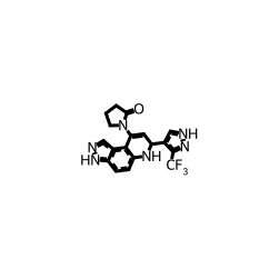 O=C1CCCN1C1=CC(c2c[nH]nc2C(F)(F)F)Nc2ccc3[nH]ncc3c21